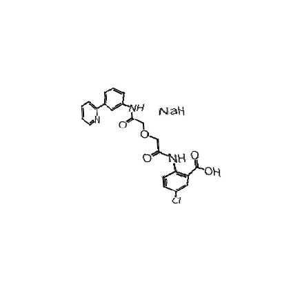 O=C(COCC(=O)Nc1ccc(Cl)cc1C(=O)O)Nc1cccc(-c2ccccn2)c1.[NaH]